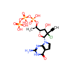 C#CC1(Cl)[C@@H](O)[C@@H]([C@@H](C)OP(=O)(O)OP(=O)(O)OP(=O)(O)O)O[C@H]1n1ccc2c(=O)[nH]c(N)nc21